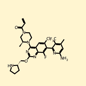 C=CC(=O)N1CCN(c2nc(OC[C@@H]3CCCN3)nc3c(F)c(-c4nc(N)cc(C)c4C(F)(F)F)c(Cl)cc23)[C@@H](C)C1